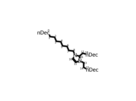 CCCCCCCCCCCCCCCCCCN1C=CN(CCCCCCCCCCCC)C1CCCCCCCCCCC